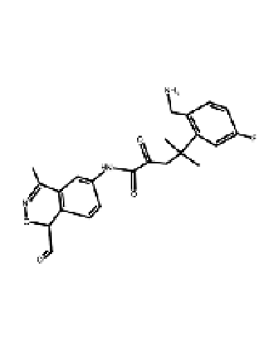 CC1=NOC(C=O)c2ccc(NC(=O)C(=O)CC(C)(C)c3cc(F)ccc3CN)cc21